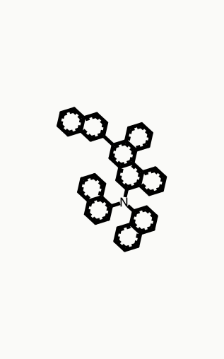 c1ccc2cc(-c3cc4cc(N(c5cccc6ccccc56)c5cccc6ccccc56)c5ccccc5c4c4ccccc34)ccc2c1